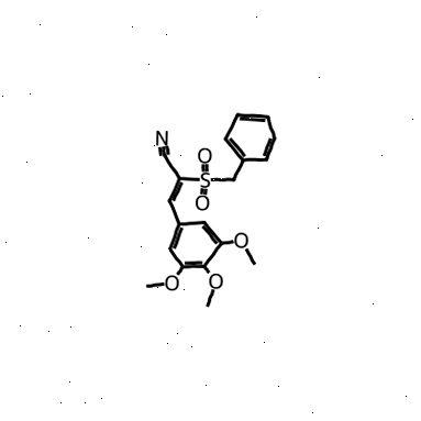 COc1cc(/C=C(/C#N)S(=O)(=O)Cc2ccccc2)cc(OC)c1OC